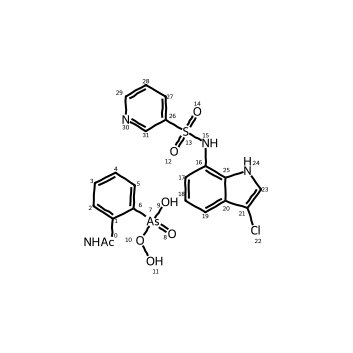 CC(=O)Nc1ccccc1[As](=O)(O)OO.O=S(=O)(Nc1cccc2c(Cl)c[nH]c12)c1cccnc1